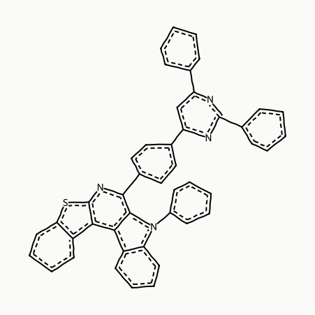 c1ccc(-c2cc(-c3ccc(-c4nc5sc6ccccc6c5c5c6ccccc6n(-c6ccccc6)c45)cc3)nc(-c3ccccc3)n2)cc1